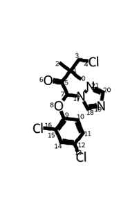 CC(C)(CCl)C(=O)C(Oc1ccc(Cl)cc1Cl)n1cncn1